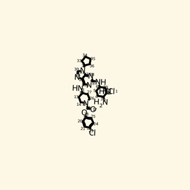 Cl.Cl.NC1CCC(Nc2nc(NC3CCN(C(=O)Oc4ccc(Cl)cc4)CC3)c3ncn(C4CCCC4)c3n2)CC1